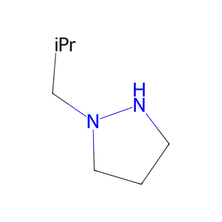 CC(C)CN1CCCN1